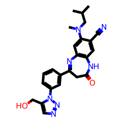 CC(C)CN(C)c1cc2c(cc1C#N)NC(=O)CC(c1cccc(-n3nncc3CO)c1)=N2